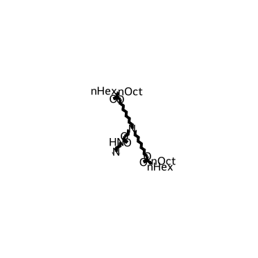 CCCCCCCCC(CCCCCC)C(=O)OCCCCCCCCN(CCCCCCCCOC(=O)C(CCCCCC)CCCCCCCC)CCOC(=O)NCCN(C)C